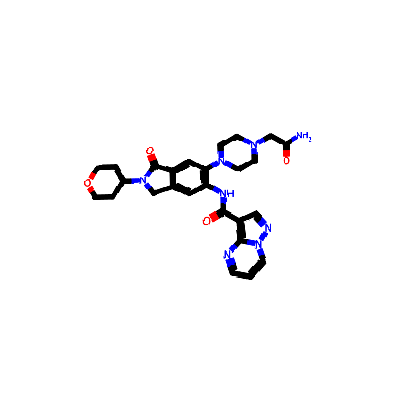 NC(=O)CN1CCN(c2cc3c(cc2NC(=O)c2cnn4cccnc24)CN(C2CCOCC2)C3=O)CC1